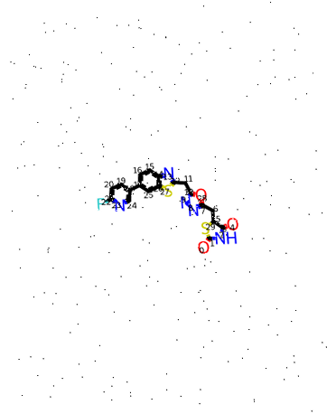 O=C1NC(=O)C(Cc2nnc(Cc3nc4ccc(-c5ccc(F)nc5)cc4s3)o2)S1